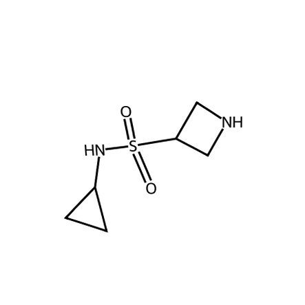 O=S(=O)(NC1CC1)C1CNC1